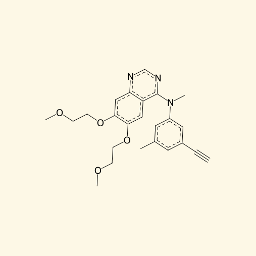 C#Cc1cc(C)cc(N(C)c2ncnc3cc(OCCOC)c(OCCOC)cc23)c1